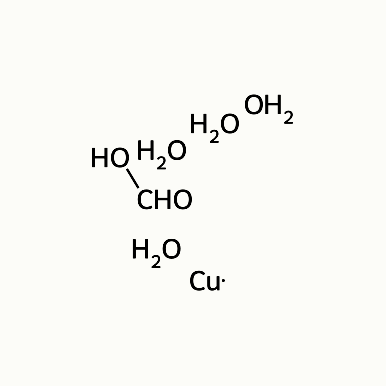 O.O.O.O.O=CO.[Cu]